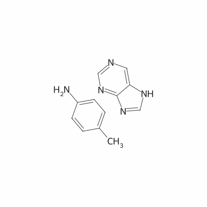 Cc1ccc(N)cc1.c1ncc2[nH]cnc2n1